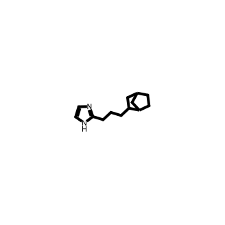 c1c[nH]c(CCCC2CC3CCC2C3)n1